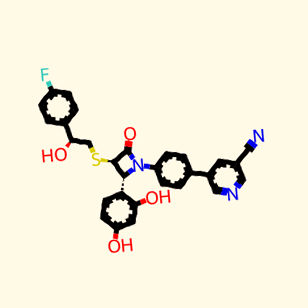 N#Cc1cncc(-c2ccc(N3C(=O)[C@H](SC[C@@H](O)c4ccc(F)cc4)[C@H]3c3ccc(O)cc3O)cc2)c1